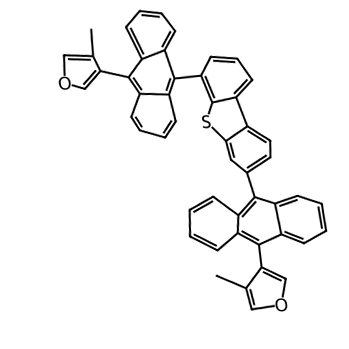 Cc1cocc1-c1c2ccccc2c(-c2ccc3c(c2)sc2c(-c4c5ccccc5c(-c5cocc5C)c5ccccc45)cccc23)c2ccccc12